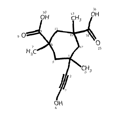 CC1(C#CO)CC(C)(C(=O)O)CC(C)(C(=O)O)C1